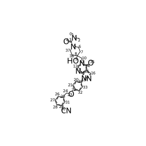 CN(C)C(=O)N1CCC(O)(Cn2cnc3c(cnn3-c3ccc(OCc4cccc(C#N)c4)cc3)c2=O)CC1